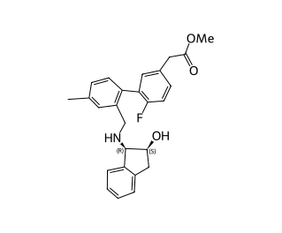 COC(=O)Cc1ccc(F)c(-c2ccc(C)cc2CN[C@@H]2c3ccccc3C[C@@H]2O)c1